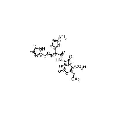 CC(=O)OCC1=C(C(=O)O)N2C(=O)[C@@H](NC(=O)C(=NOCc3ncc[nH]3)c3csc(N)n3)[C@H]2[S@+]([O-])C1